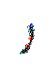 CN=Cc1c(F)cc(-c2c(F)cc(-c3ccc(OC(=O)CCCCCCCC(=O)Oc4ccc(-c5ccc(F)cc5)c(F)c4)cc3)cc2F)cc1F